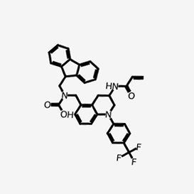 C=CC(=O)NC1Cc2c(CN(CC3c4ccccc4-c4ccccc43)C(=O)O)cccc2N(c2ccc(C(F)(F)F)cc2)C1